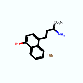 Br.NC(CCc1ccc(O)c2ccccc12)C(=O)O